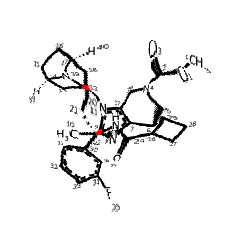 COC(=O)N1CCc2nc(C)n([C@H]3C[C@H]4CC[C@@H](C3)N4CC[C@H](NC(=O)C3CCC3)c3cccc(F)c3)c2C1